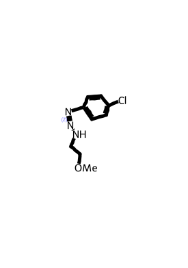 COCCN/N=N\c1ccc(Cl)cc1